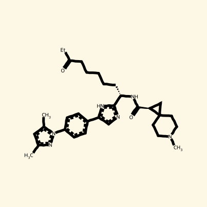 CCC(=O)CCCCC[C@H](NC(=O)[C@H]1CC12CCN(C)CC2)c1ncc(-c2ccc(-n3nc(C)cc3C)cc2)[nH]1